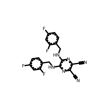 N#Cc1nc(NCc2ccc(F)cc2F)c(NCc2ccc(F)cc2F)nc1C#N